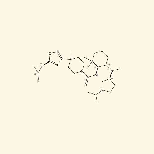 CC(C)N1CC[C@H](N(C)[C@H]2CCCC(F)(F)[C@@H]2NC(=O)N2CCC(C)(c3noc([C@@H]4C[C@@H]4F)n3)CC2)C1